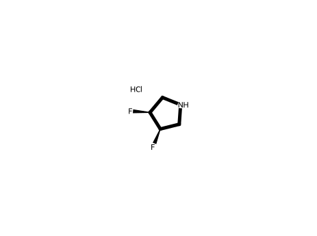 Cl.F[C@@H]1CNC[C@@H]1F